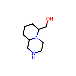 OCC1CCCC2CNCCN12